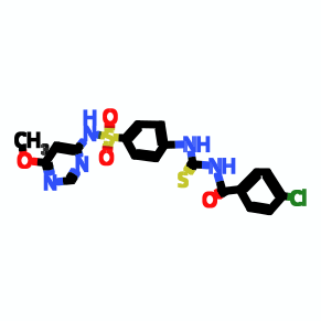 COc1cc(NS(=O)(=O)c2ccc(NC(=S)NC(=O)c3ccc(Cl)cc3)cc2)ncn1